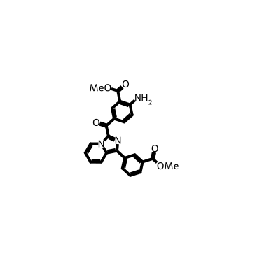 COC(=O)c1cccc(-c2nc(C(=O)c3ccc(N)c(C(=O)OC)c3)n3ccccc23)c1